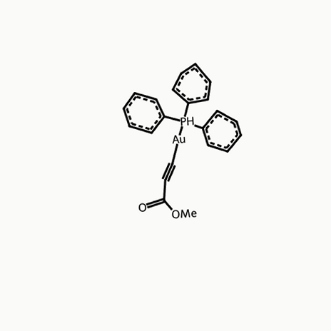 COC(=O)C#[C][Au][PH](c1ccccc1)(c1ccccc1)c1ccccc1